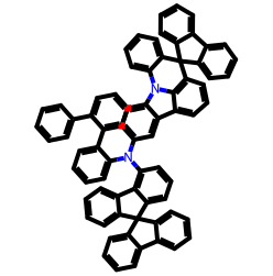 c1ccc(-c2ccccc2-c2ccccc2N(c2ccc3c(c2)c2cccc4c2n3-c2ccccc2C42c3ccccc3-c3ccccc32)c2cccc3c2-c2ccccc2C32c3ccccc3-c3ccccc32)cc1